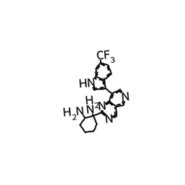 NC1CCCCC1(N)c1ncc2cncc(-c3c[nH]c4cc(C(F)(F)F)ccc34)c2n1